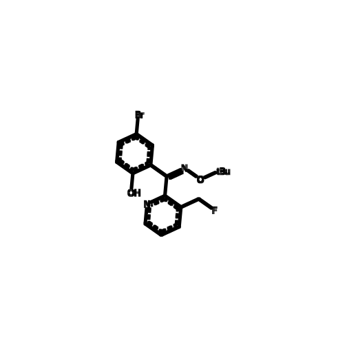 CC(C)(C)ON=C(c1cc(Br)ccc1O)c1ncccc1CF